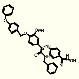 COc1cc([C@H](Nc2ccc(C(=N)NO)cc2)C(=O)NCc2ccccc2)ccc1OCc1ccc(Oc2ccccc2)cc1